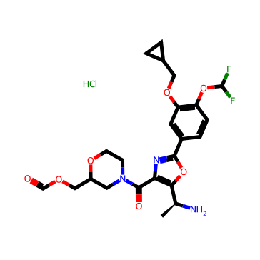 C[C@H](N)c1oc(-c2ccc(OC(F)F)c(OCC3CC3)c2)nc1C(=O)N1CCOC(COC=O)C1.Cl